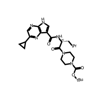 CC(C)C[C@@H](NC(=O)c1c[nH]c2ncc(C3CC3)nc12)C(=O)N1CCN(C(=O)OC(C)(C)C)CC1